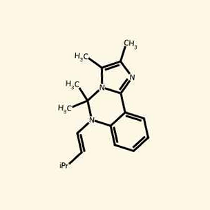 Cc1nc2n(c1C)C(C)(C)N(/C=C/C(C)C)c1ccccc1-2